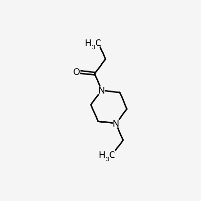 CCC(=O)N1CCN(CC)CC1